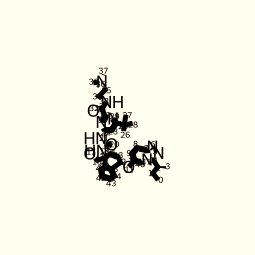 CC[C@H](C)c1nnc2ccc(O[C@@H]3C=C[C@](C=O)(NC(=O)Nc4cc(C(C)(C)C)nc(C(=O)NCCN(C)C)n4)c4ccccc43)cn12